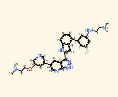 CN(C)CCNc1cc(F)cc(-c2cccc3[nH]c(-c4n[nH]c5ncc(-c6cncc(OCCN(C)C)c6)cc45)cc23)c1